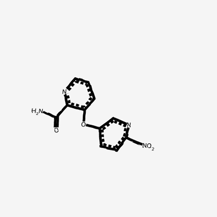 NC(=O)c1ncccc1Oc1ccc([N+](=O)[O-])nc1